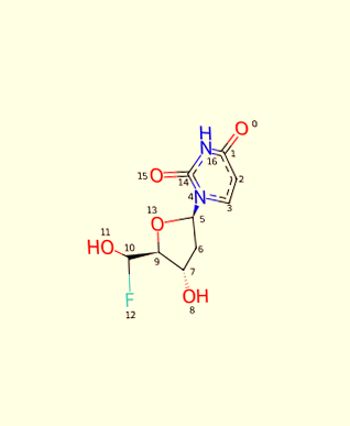 O=c1ccn([C@H]2C[C@H](O)[C@@H](C(O)F)O2)c(=O)[nH]1